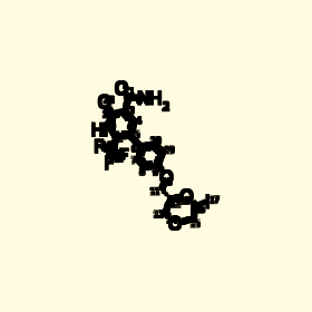 NC(=O)c1cc(-c2ccc(OC[C@H]3COC[C@H](I)O3)cc2)c(C(F)(F)F)[nH]c1=O